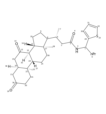 CCCC(NC(=O)C[C@@H](C)C1CC[C@H]2[C@@H]3C(=O)C[C@@H]4CC(=O)CC[C@]4(C)[C@H]3CC[C@]12C)c1cccs1